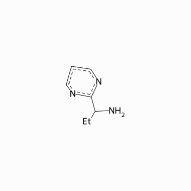 CCC(N)c1ncccn1